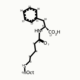 CCCCCCCCSCCCCC(=O)N[C@@H](Cc1ccccc1)C(=O)O